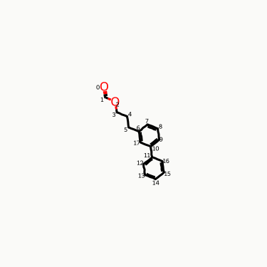 O=COCCCc1cccc(-c2ccccc2)c1